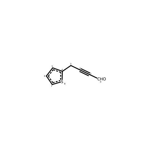 O=CC#CCc1cccs1